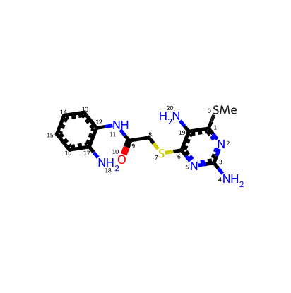 CSc1nc(N)nc(SCC(=O)Nc2ccccc2N)c1N